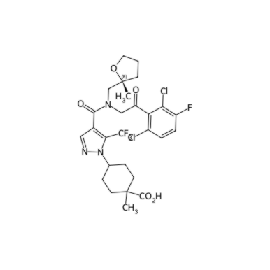 CC1(C(=O)O)CCC(n2ncc(C(=O)N(CC(=O)c3c(Cl)ccc(F)c3Cl)C[C@@]3(C)CCCO3)c2C(F)(F)F)CC1